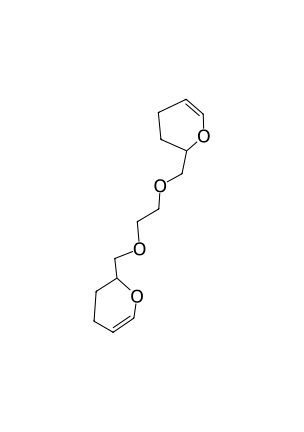 C1=COC(COCCOCC2CCC=CO2)CC1